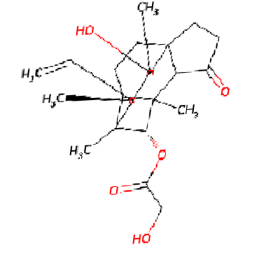 C=C[C@@]1(C)CC2(C)C3CCC4(CCC(=O)C4C3(C)[C@@H]2OC(=O)CO)C(C)C1O